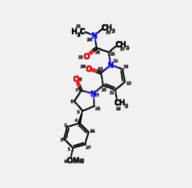 COc1ccc([C@H]2CC(=O)N(c3c(C)ccn(C(C)C(=O)N(C)C)c3=O)C2)cc1